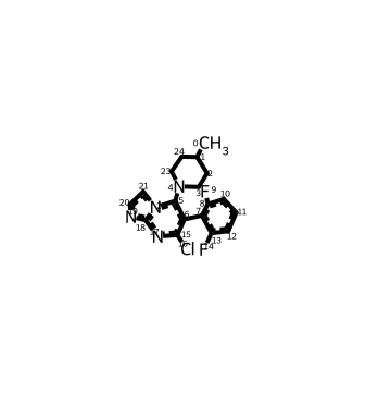 CC1CCN(c2c(-c3c(F)cccc3F)c(Cl)nc3nccn23)CC1